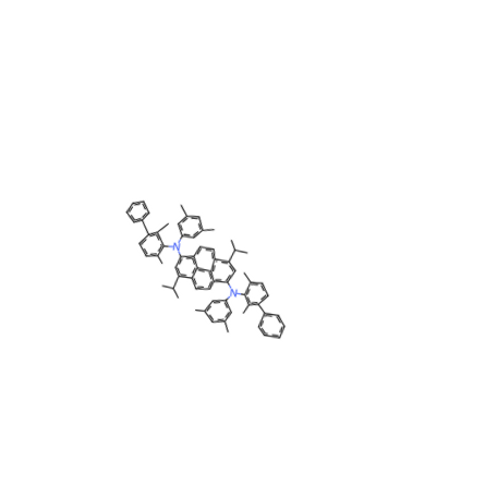 Cc1cc(C)cc(N(c2c(C)ccc(-c3ccccc3)c2C)c2cc(C(C)C)c3ccc4c(N(c5cc(C)cc(C)c5)c5c(C)ccc(-c6ccccc6)c5C)cc(C(C)C)c5ccc2c3c54)c1